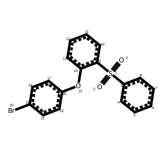 O=S(=O)(c1ccccc1)c1ccccc1Oc1ccc(Br)cc1